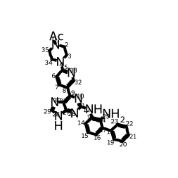 CC(=O)N1CCN(c2ccc(-c3nc(Nc4cccc(-c5ccccc5)c4N)nc4[nH]cnc34)cn2)CC1